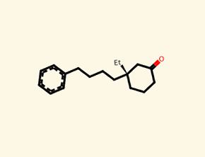 CC[C@]1(CCCCc2ccccc2)CCCC(=O)C1